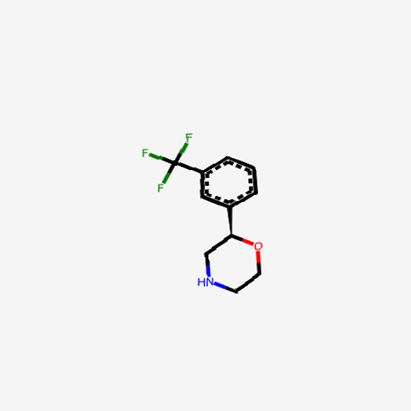 FC(F)(F)c1cccc([C@@H]2CNCCO2)c1